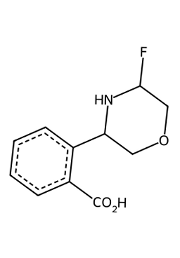 O=C(O)c1ccccc1C1COCC(F)N1